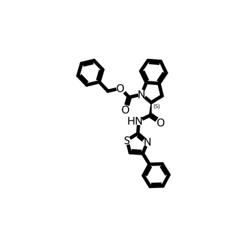 O=C(Nc1nc(-c2ccccc2)cs1)[C@@H]1Cc2ccccc2N1C(=O)OCc1ccccc1